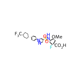 COc1cc(C(=O)O)c(F)cc1NS(=O)(=O)c1cnn(-c2ccc([C@H]3CC[C@@H](C(F)(F)F)CC3)cc2)c1